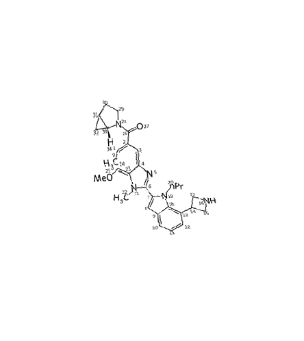 C\C=C(/C=c1/nc(-c2cc3cccc(C4CNC4)c3n2CCC)n(C)/c1=C\OC)C(=O)N1CCC2C[C@H]21